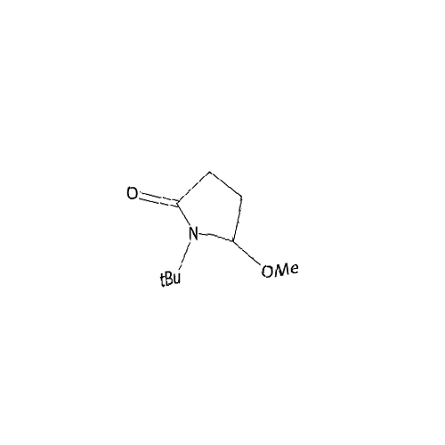 COC1CCC(=O)N1C(C)(C)C